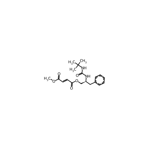 COC(=O)/C=C/C(=O)OC[C@H](Cc1ccccc1)NC(=O)NC(C)(C)C